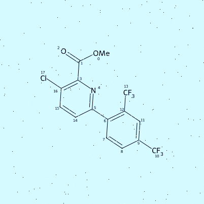 COC(=O)c1nc(-c2ccc(C(F)(F)F)cc2C(F)(F)F)ccc1Cl